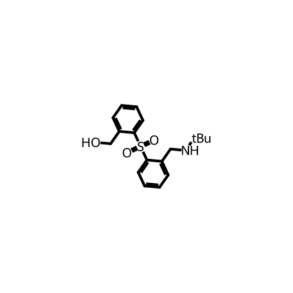 CC(C)(C)NCc1ccccc1S(=O)(=O)c1ccccc1CO